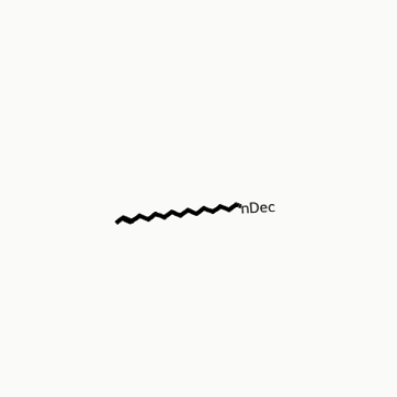 C/C=C/CCCCCCCCCCCCCCCCCCCCCCC